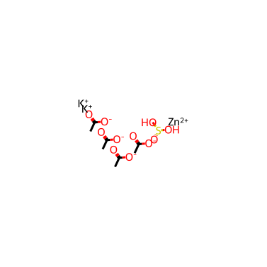 CC(=O)[O-].CC(=O)[O-].CC(=O)[O-].CC(=O)[O-].O=S(O)O.[K+].[K+].[Zn+2]